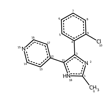 Cc1nc(-c2ccccc2Cl)c(-c2ccncc2)[nH]1